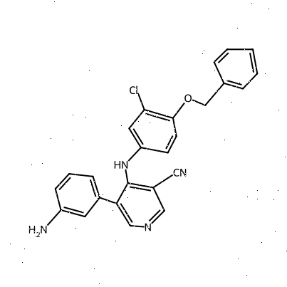 N#Cc1cncc(-c2cccc(N)c2)c1Nc1ccc(OCc2ccccc2)c(Cl)c1